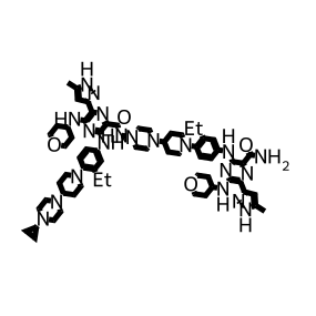 CCc1cc(Nc2nc(NC3CCOCC3)c(-c3cc(C)[nH]n3)nc2C(N)=O)ccc1N1CCC(N2CCN(NC(=O)c3nc(-c4cc(C)[nH]n4)c(NC4CCOCC4)nc3Nc3ccc(N4CCC(N5CCN(C6CC6)CC5)CC4)c(CC)c3)CC2)CC1